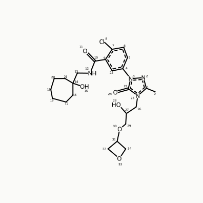 Cc1nn(-c2ccc(Cl)c(C(=O)NCC3(O)CCCCCC3)c2)c(=O)n1CC(O)COC1COC1